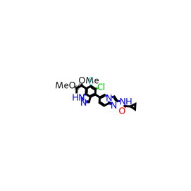 CO[C@H](C)[C@@H](OC)c1c(F)c(Cl)c(-c2ccc3nc(NC(=O)C4CC4)cn3c2)c2cn[nH]c12